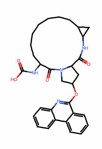 O=C(O)NC1CCCCCCCC2CC2NC(=O)C2CC(Oc3nc4ccccc4c4ccccc34)CN2C1=O